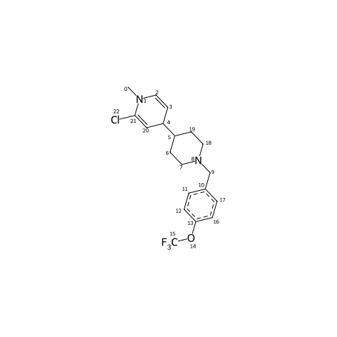 CN1C=CC(C2CCN(Cc3ccc(OC(F)(F)F)cc3)CC2)C=C1Cl